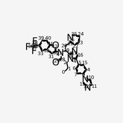 CCCn1c(-c2ccc(-n3ccnc3)cc2)cnc1[C@H](Cc1ccccn1)N(C=O)c1cc2cc(C(F)(F)F)ccc2o1